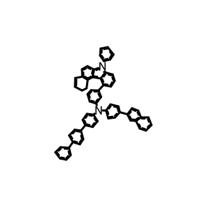 C1=Cc2ccc3c(c2CC1)c1c(-c2cccc(N(c4ccc(-c5ccc(-c6ccccc6)cc5)cc4)c4ccc(-c5ccc6ccccc6c5)cc4)c2)cccc1n3-c1ccccc1